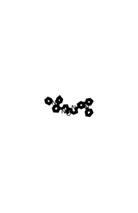 c1ccc(-n2c3ccccc3c3ccc(-c4ccc5oc6nc(-c7cccc8c7c7ccccc7n8-c7ccccc7)ccc6c5n4)cc32)cc1